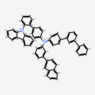 c1ccc(-c2cccc(-c3ccc(N(c4ccc(-c5ccccc5-n5c6ccccc6c6ccccc65)cc4)c4cccc(-c5ccc6ccccc6c5)c4)cc3)c2)cc1